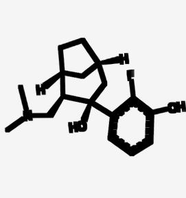 CN(C)C[C@H]1[C@@H]2CC[C@@H](C2)C[C@]1(O)c1cccc(O)c1F